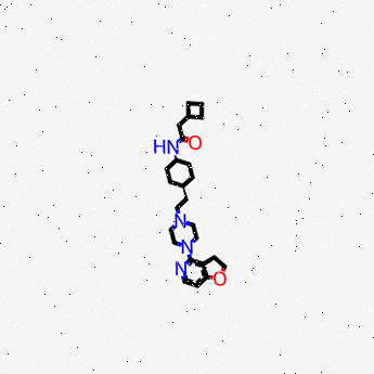 O=C(CC1CCC1)N[C@H]1CC[C@H](CCN2CCN(c3nccc4c3CCO4)CC2)CC1